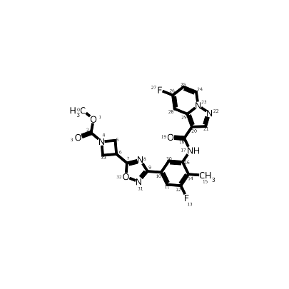 COC(=O)N1CC(c2nc(-c3cc(F)c(C)c(NC(=O)c4cnn5ccc(F)cc45)c3)no2)C1